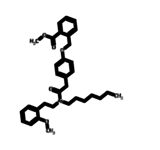 CCCCCCC[As](CCc1ccccc1OC)C(=O)Cc1ccc(OCc2ccccc2C(=O)OC)cc1